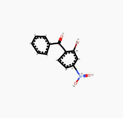 O=C(c1ccccc1)c1ccc([N+](=O)[O-])cc1Br